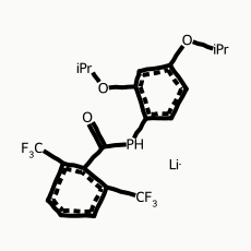 CC(C)Oc1ccc(PC(=O)c2c(C(F)(F)F)cccc2C(F)(F)F)c(OC(C)C)c1.[Li]